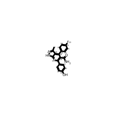 Cc1n[nH]c2nc(-c3ccc(O)cc3)c(C(N)=O)c(-c3ccc(F)cc3)c12